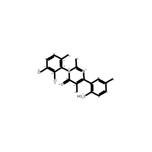 Cc1ccc(S(=O)(=O)O)c(-c2nc(C)n(-c3c(C)ccc(Cl)c3Cl)c(=O)c2C)c1